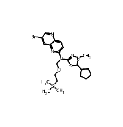 CN1N=C(N(COCC[Si](C)(C)C)c2ccc3ncc(Br)cc3n2)SC1C1CCCC1